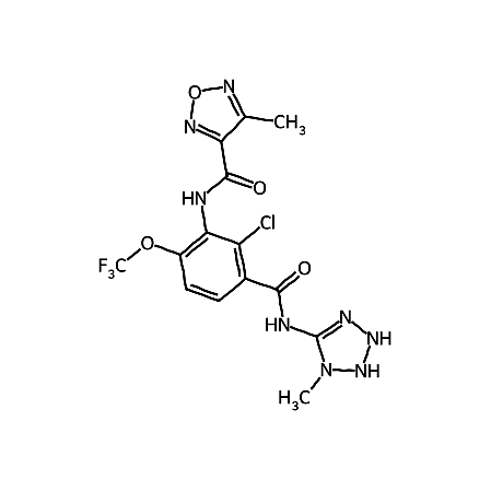 Cc1nonc1C(=O)Nc1c(OC(F)(F)F)ccc(C(=O)NC2=NNNN2C)c1Cl